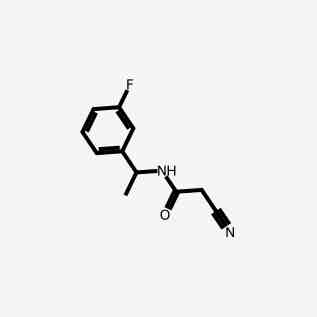 CC(NC(=O)CC#N)c1cccc(F)c1